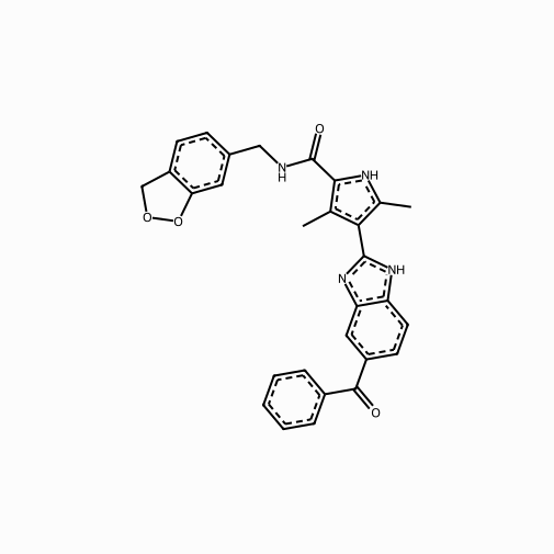 Cc1[nH]c(C(=O)NCc2ccc3c(c2)OOC3)c(C)c1-c1nc2cc(C(=O)c3ccccc3)ccc2[nH]1